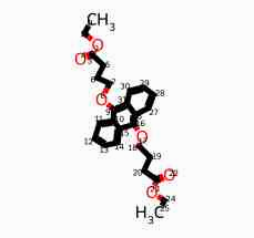 CCOC(=O)CCCOc1c2ccccc2c(OCCCC(=O)OCC)c2ccccc12